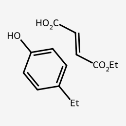 CCOC(=O)C=CC(=O)O.CCc1ccc(O)cc1